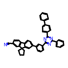 N#Cc1ccc2c(c1)C1(CCCC1)c1cc(-c3cccc(-c4nc(-c5ccccc5)nc(-c5ccc(-c6ccccc6)cc5)n4)c3)ccc1-2